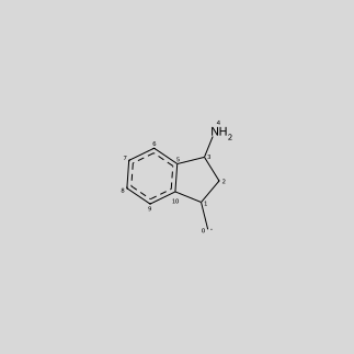 [CH2]C1CC(N)c2ccccc21